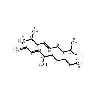 C=CC=CC(O)CCCCO.CC(O)CC=CCCC(C)O